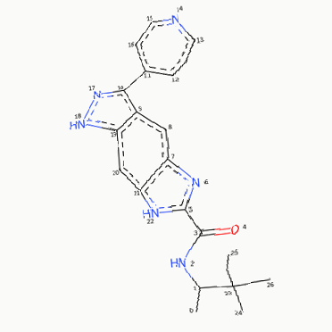 CC(NC(=O)c1nc2cc3c(-c4ccncc4)n[nH]c3cc2[nH]1)C(C)(C)C